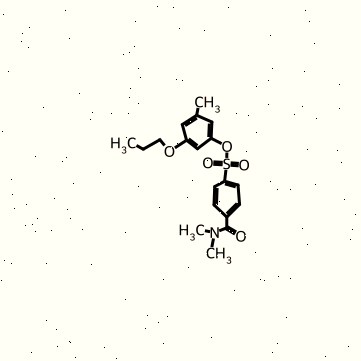 CCCOc1cc(C)cc(OS(=O)(=O)c2ccc(C(=O)N(C)C)cc2)c1